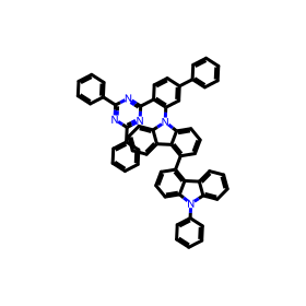 c1ccc(-c2ccc(-c3nc(-c4ccccc4)nc(-c4ccccc4)n3)c(-n3c4ccccc4c4c(-c5cccc6c5c5ccccc5n6-c5ccccc5)cccc43)c2)cc1